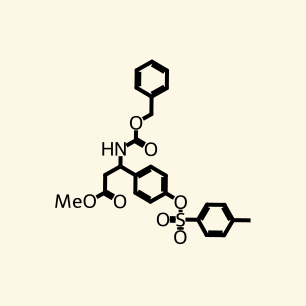 COC(=O)CC(NC(=O)OCc1ccccc1)c1ccc(OS(=O)(=O)c2ccc(C)cc2)cc1